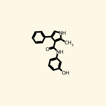 Cc1[nH]cc(-c2ccccc2)c1C(=O)Nc1cccc(O)c1